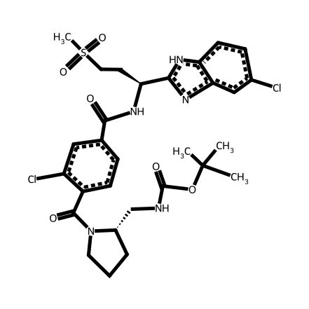 CC(C)(C)OC(=O)NC[C@@H]1CCCN1C(=O)c1ccc(C(=O)N[C@@H](CCS(C)(=O)=O)c2nc3cc(Cl)ccc3[nH]2)cc1Cl